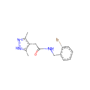 Cc1n[nH]c(C)c1CC(=O)NCc1ccccc1Br